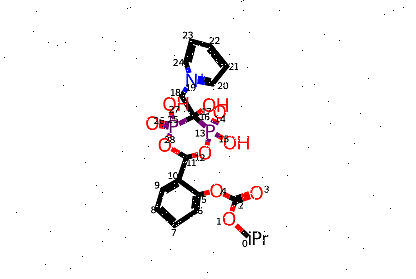 CC(C)OC(=O)Oc1ccccc1C1OP(=O)(O)C(O)(C[n+]2ccccc2)P(=O)(O)O1